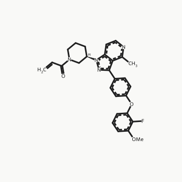 C=CC(=O)N1CCC[C@@H](n2nc(-c3ccc(Oc4cccc(OC)c4F)cc3)c3c(C)nccc32)C1